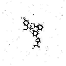 C=CC(c1ccc(O)cc1)S(=O)(=O)N1c2ccc(-c3ccc(C(=O)CC)s3)cc2-c2ccccc2C1CC